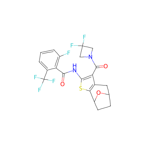 O=C(Nc1sc2c(c1C(=O)N1CC(F)(F)C1)CC1CCC2O1)c1c(F)cccc1C(F)(F)F